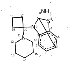 N.c1cc2c3cc1C(S3)N2C1(N2CCCCC2)CCC1